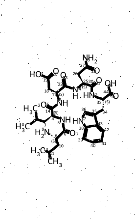 CC(C)C[C@H](NC(=O)[C@@H](N)CC(C)C)C(=O)N[C@@H](CC(=O)O)C(=O)N[C@@H](CC(N)=O)C(=O)N[C@@H](Cc1c[nH]c2ccccc12)C(=O)O